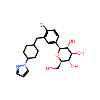 OC[C@H]1O[C@@H](c2ccc(Cl)c(CC3CCC(n4cccn4)CC3)c2)[C@H](O)[C@@H](O)[C@@H]1O